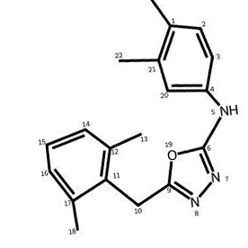 Cc1ccc(Nc2nnc(Cc3c(C)cccc3C)o2)cc1C